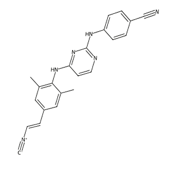 [C-]#[N+]/C=C/c1cc(C)c(Nc2ccnc(Nc3ccc(C#N)cc3)n2)c(C)c1